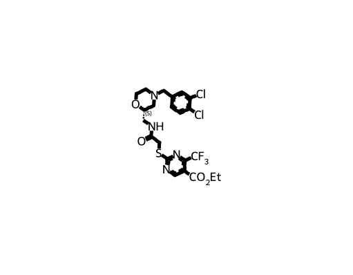 CCOC(=O)c1cnc(SCC(=O)NC[C@H]2CN(Cc3ccc(Cl)c(Cl)c3)CCO2)nc1C(F)(F)F